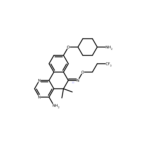 CC1(C)/C(=N/OCCC(F)(F)F)c2cc(OC3CCC(N)CC3)ccc2-c2ncnc(N)c21